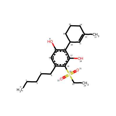 CCCCCc1cc(O)c(C2C=C(C)CCC2)c(O)c1S(=O)(=O)CC